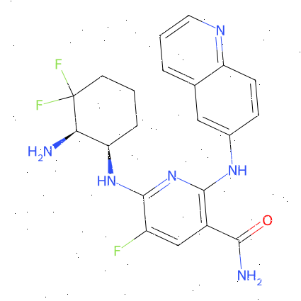 NC(=O)c1cc(F)c(N[C@@H]2CCCC(F)(F)[C@@H]2N)nc1Nc1ccc2ncccc2c1